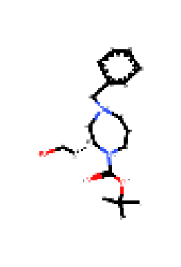 CC(C)(C)OC(=O)N1CCCN(Cc2ccccc2)C[C@H]1CCO